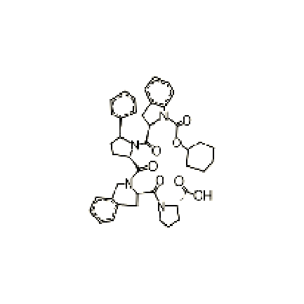 O=C(O)[C@@H]1CCCN1C(=O)[C@H]1Cc2ccccc2CN1C(=O)[C@H]1CC[C@@H](c2ccccc2)N1C(=O)[C@H]1Cc2ccccc2N1C(=O)OC1CCCCC1